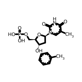 Cc1ccccc1.Cc1cn([C@H]2C[C@H](O)[C@@H](COP(=O)(O)O)O2)c(=O)[nH]c1=O